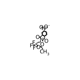 CCC(=O)OC(CSC(F)(F)F)N1C(=O)c2ccc([N+](=O)[O-])cc2C1=O